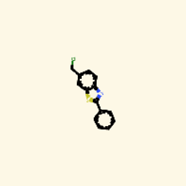 ClCc1ccc2nc(-c3ccccc3)sc2c1